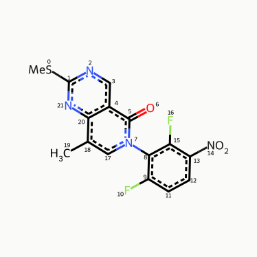 CSc1ncc2c(=O)n(-c3c(F)ccc([N+](=O)[O-])c3F)cc(C)c2n1